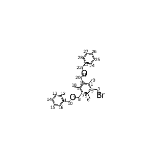 Cc1c(CBr)c(C)c(COCc2ccccc2)c(C)c1COCc1ccccc1